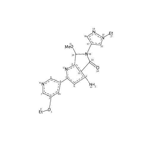 CCOc1cncc(-c2cc(N)c3c(n2)C(OC)N(c2cnn(CC)c2)C3=O)c1